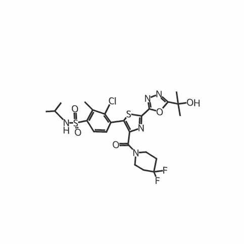 Cc1c(S(=O)(=O)NC(C)C)ccc(-c2sc(-c3nnc(C(C)(C)O)o3)nc2C(=O)N2CCC(F)(F)CC2)c1Cl